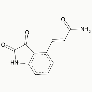 NC(=O)C=Cc1cccc2c1C(=O)C(=O)N2